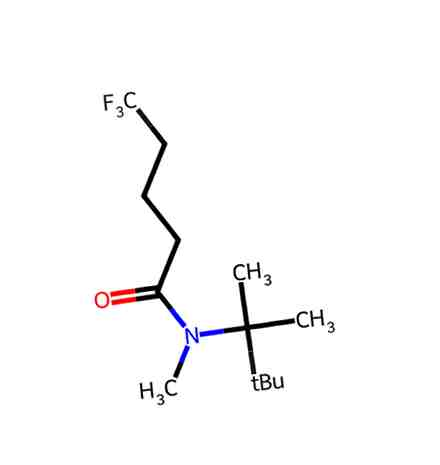 CN(C(=O)CCCC(F)(F)F)C(C)(C)C(C)(C)C